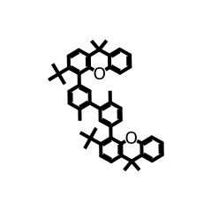 Cc1ccc(-c2c(C(C)(C)C)ccc3c2Oc2ccccc2C3(C)C)cc1-c1cc(-c2c(C(C)(C)C)ccc3c2Oc2ccccc2C3(C)C)ccc1C